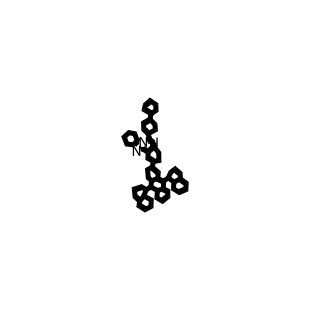 C1=CCCC(C2=CC=C(c3nc4c(c5nc6c(n35)CCCC6)C=C(C3=CC5=C(C6CC=CC7=CC=CCC76)C6=CC=CCC6C(C6C=CC=C7C=CCCC76)C5CC3)CC4)CC2)=C1